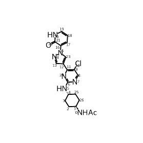 CC(=O)N[C@H]1CC[C@H](Nc2ncc(Cl)c(-c3cnn(-c4ccc[nH]c4=O)c3)n2)CC1